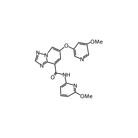 COc1cncc(Oc2cc(C(=O)Nc3cccc(OC)n3)c3ncnn3c2)c1